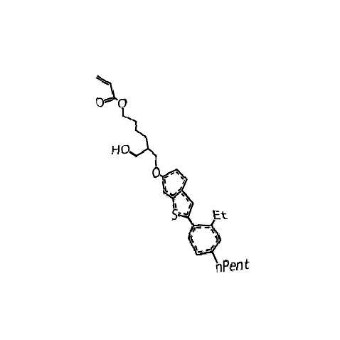 C=CC(=O)OCCCCC(CO)COc1ccc2cc(-c3ccc(CCCCC)cc3CC)sc2c1